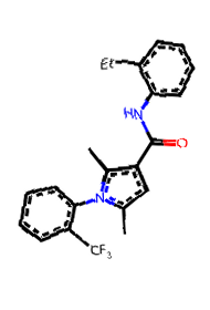 CCc1ccccc1NC(=O)c1cc(C)n(-c2ccccc2C(F)(F)F)c1C